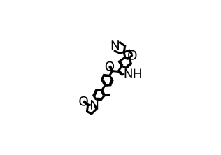 Cc1cc(N2CCCC2=O)ccc1-c1ccc(C(=O)c2c[nH]c3cc4c(cc23)C2(CCN(C)CC2)CO4)cc1